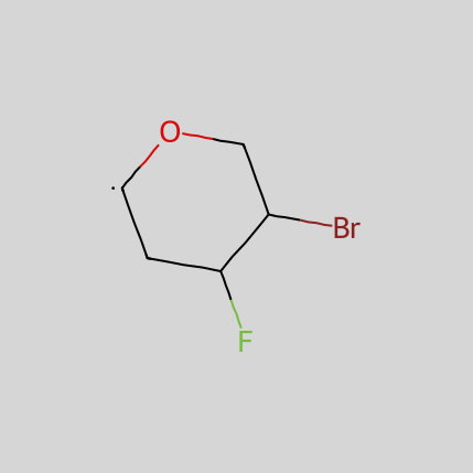 FC1C[CH]OCC1Br